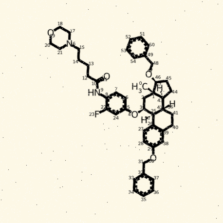 C[C@]12C[C@H](Oc3ccc(NC(=O)CCCCN4CCOCC4)c(F)c3)[C@@H]3c4ccc(OCc5ccccc5)cc4CC[C@H]3[C@@H]1CC[C@@H]2OCc1ccccc1